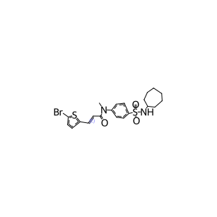 CN(C(=O)/C=C/c1ccc(Br)s1)c1ccc(S(=O)(=O)NC2CCCCCC2)cc1